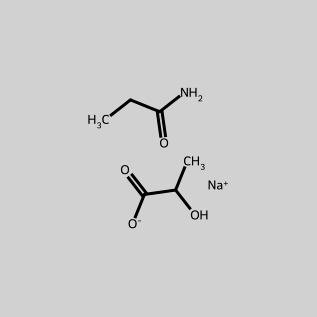 CC(O)C(=O)[O-].CCC(N)=O.[Na+]